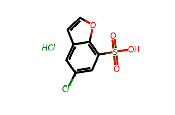 Cl.O=S(=O)(O)c1cc(Cl)cc2ccoc12